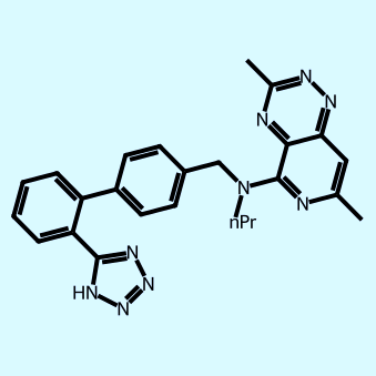 CCCN(Cc1ccc(-c2ccccc2-c2nnn[nH]2)cc1)c1nc(C)cc2nnc(C)nc12